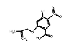 C=C(C)COc1cc(Cl)c([N+](=O)[O-])cc1C(N)=O